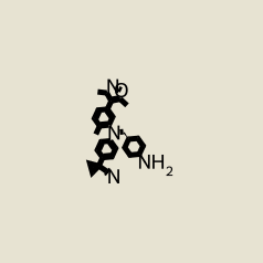 Cc1ccc(-c2c(C)noc2C)cc1N(C[C@H]1CC[C@@H](N)CC1)c1ccc(C2(C#N)CC2)cc1